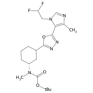 Cc1ncn(CC(F)F)c1-c1nnc(C2CCC[C@@H](N(C)C(=O)OC(C)(C)C)C2)o1